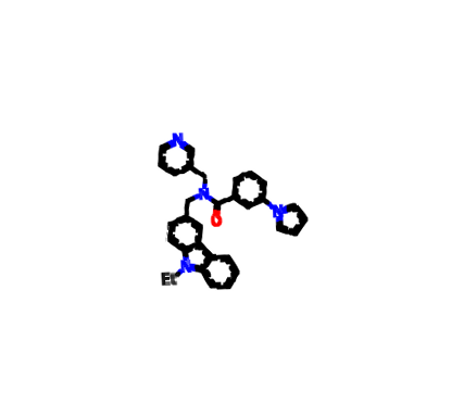 CCn1c2ccccc2c2cc(CN(Cc3cccnc3)C(=O)c3cccc(-n4cccc4)c3)ccc21